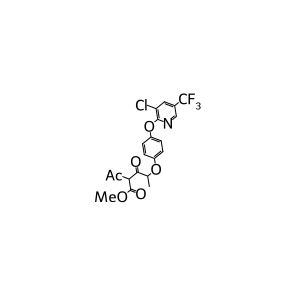 COC(=O)C(C(C)=O)C(=O)C(C)Oc1ccc(Oc2ncc(C(F)(F)F)cc2Cl)cc1